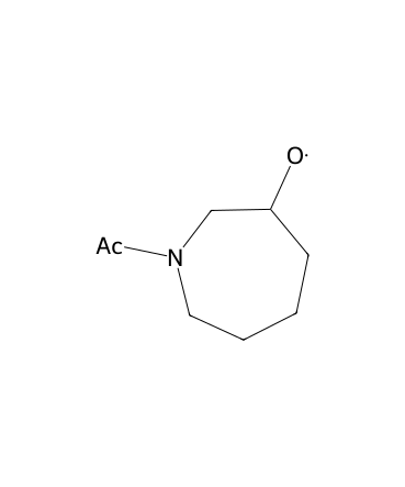 CC(=O)N1CCCCC([O])C1